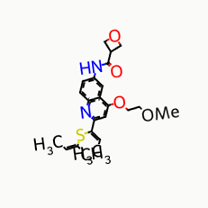 C/C=C(/C)S/C(=C\C)c1cc(OCCOC)c2cc(NC(=O)C3COC3)ccc2n1